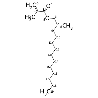 C=C(C)C(=O)OCC(C)CCCCCCCCCCC